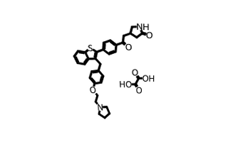 O=C(O)C(=O)O.O=C1CC(CC(=O)c2ccc(-c3sc4ccccc4c3Cc3ccc(OCCN4CCCC4)cc3)cc2)CN1